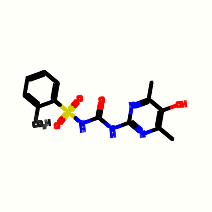 Cc1nc(NC(=O)NS(=O)(=O)c2ccccc2C(=O)O)nc(C)c1O